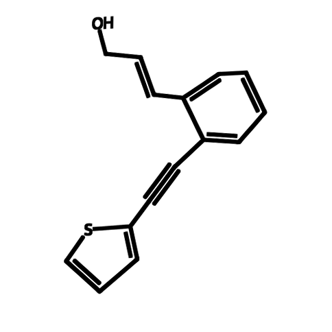 OC/C=C/c1ccccc1C#Cc1cccs1